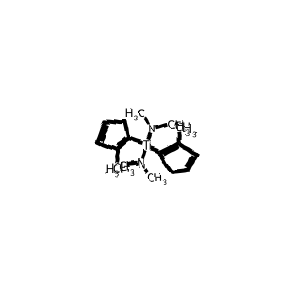 CC1=[C]([Ti]([C]2=C(C)C=CC2)([N](C)C)[N](C)C)CC=C1